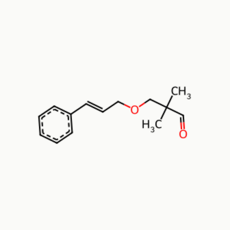 CC(C)(C=O)COCC=Cc1ccccc1